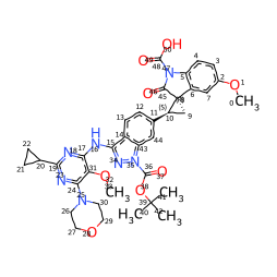 COc1ccc2c(c1)[C@]1(C[C@H]1c1ccc3c(Nc4nc(C5CC5)nc(N5CCOCC5)c4OC)nn(C(=O)OC(C)(C)C)c3c1)C(=O)N2C(=O)O